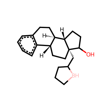 OC1CC[C@H]2[C@@H]3CCc4ccccc4[C@H]3CC[C@]12CC1BCCC1